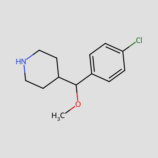 COC(c1ccc(Cl)cc1)C1CCNCC1